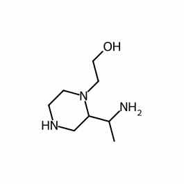 CC(N)C1CNCCN1CCO